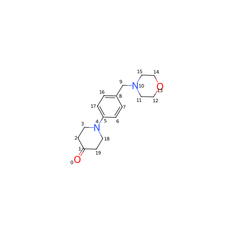 O=C1CCN(c2ccc(CN3CCOCC3)cc2)CC1